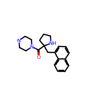 O=C(N1CC[N]CC1)C1(Cc2cccc3ccccc23)CCCN1